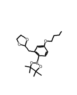 CCCCOc1ccc(B2OC(C)(C)C(C)(C)O2)c(CC2OCCO2)c1